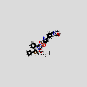 O=C(O)c1sc(-c2ccccc2)cc1N1C(=O)CN(S(=O)(=O)c2ccc(-c3ccc(CN4CCOCC4)cc3)nc2)C[C@H]1C1CCCCC1